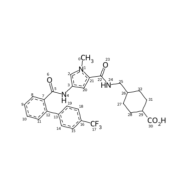 Cn1cc(NC(=O)c2ccccc2-c2ccc(C(F)(F)F)cc2)cc1C(=O)NCC1CCC(C(=O)O)CC1